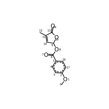 COc1ccc(C(=O)OC2C=C(C)C(=O)O2)cc1